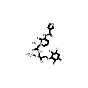 CC[C@@H](C(=O)N[C@@H](CC(=O)O)C(=O)COc1c(F)c(F)cc(F)c1F)n1cccc(NC(=O)c2ccoc2)c1=O